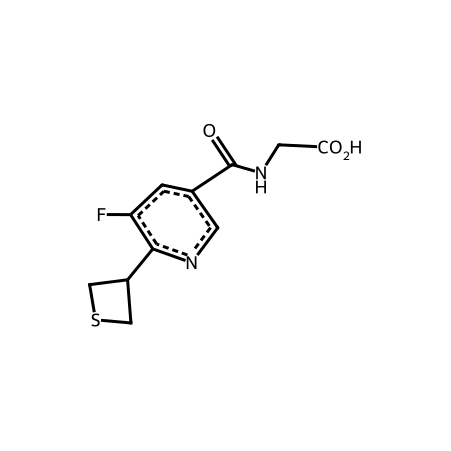 O=C(O)CNC(=O)c1cnc(C2CSC2)c(F)c1